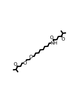 CC(C)C(=O)CCOCCOCCCCCCCCNC(=O)CCC(=O)C(C)C